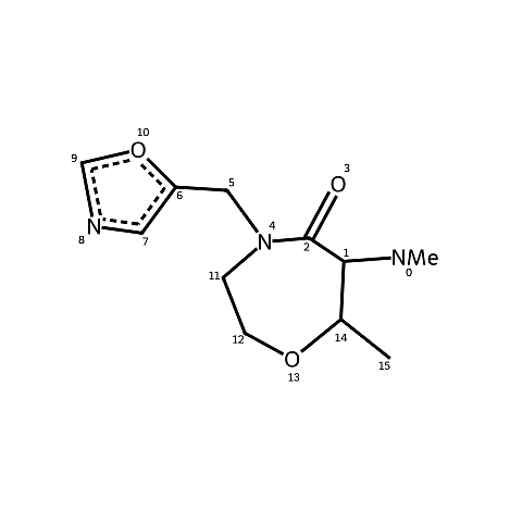 CNC1C(=O)N(Cc2cnco2)CCOC1C